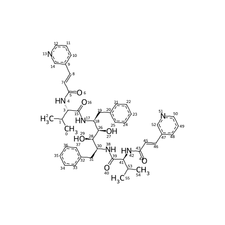 CC(C)[C@H](NC(=O)C=Cc1cccnc1)C(=O)N[C@@H](Cc1ccccc1)[C@@H](O)[C@H](O)[C@H](Cc1ccccc1)NC(=O)[C@@H](NC(=O)C=Cc1cccnc1)C(C)C